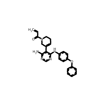 C=CC(=O)N1CCC=C(c2c(N)ncnc2Nc2ccc(Oc3ccccc3)cc2)C1